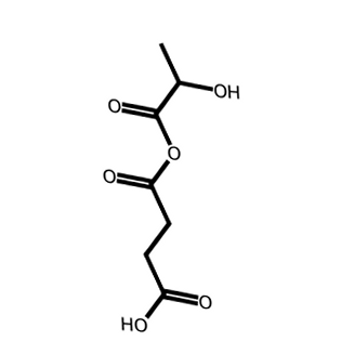 CC(O)C(=O)OC(=O)CCC(=O)O